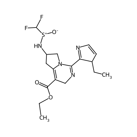 CCOC(=O)C1=C2CC(N[S+]([O-])C(F)F)CN2C(C2=NC=CC2CC)=NC1